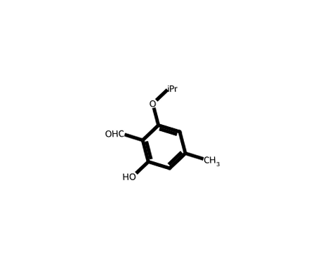 Cc1cc(O)c(C=O)c(OC(C)C)c1